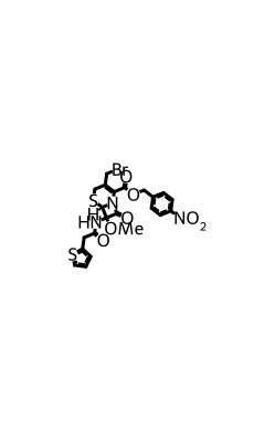 COC1(NC(=O)Cc2cccs2)C(=O)N2C(C(=O)OCc3ccc([N+](=O)[O-])cc3)=C(CBr)CS[C@H]21